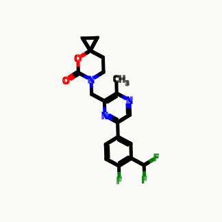 Cc1ncc(-c2ccc(F)c(C(F)F)c2)nc1CN1CCC2(CC2)OC1=O